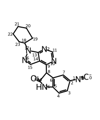 [C-]#[N+]c1ccc2c(c1)C(c1ncnc3c1cnn3C1CCCCC1)C(=O)N2